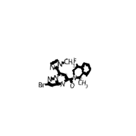 C[C@@H]1c2ccccc2C(F)CN1C(=O)c1cc(-c2nccn2C)n2nc(Br)cc2n1